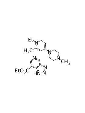 CCN1CC=C(N2CCN(C)CC2)C=C1C.CCOC(=O)c1cncc2nn[nH]c12